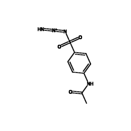 CC(=O)Nc1ccc(S(=O)(=O)N=[N+]=N)cc1